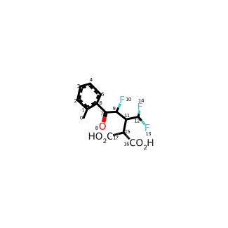 Cc1ccccc1C(=O)C(F)C(C(F)F)C(C(=O)O)C(=O)O